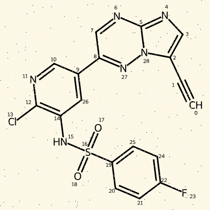 C#Cc1cnc2ncc(-c3cnc(Cl)c(NS(=O)(=O)c4ccc(F)cc4)c3)nn12